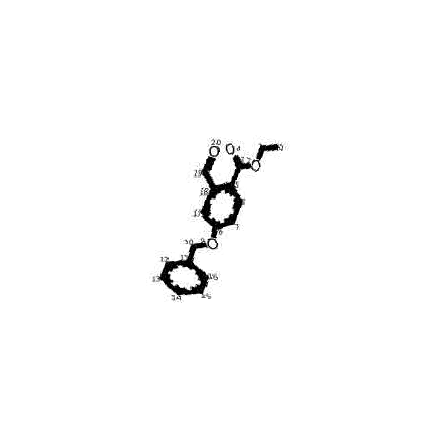 CCOC(=O)c1ccc(OCc2ccccc2)cc1C=O